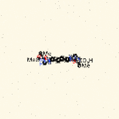 COCC[C@H](NC(=O)OC)C(=O)N1CCC[C@H]1c1nc2cc(-c3ccc4cc(-c5ccc6[nH]c([C@@H]7CCCN7C(=O)[C@H](CCOC)N(C)C(=O)O)nc6c5)ccc4c3)ccc2[nH]1